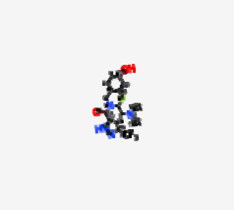 CCN(CC)CCN(Cc1ccc(O)cc1F)C(=O)c1cc(C(F)(F)F)n[nH]1